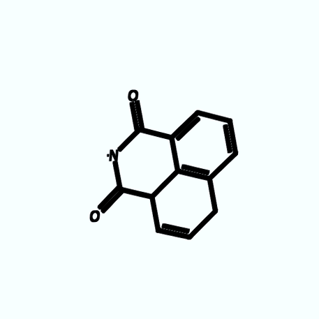 O=C1[N]C(=O)C2C=CCc3cccc1c32